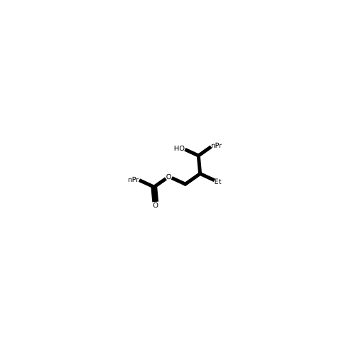 CCCC(=O)OCC(CC)C(O)CCC